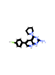 Nc1nc(N2CCCCC2)c2cc(-c3ccc(F)cc3)cnc2n1